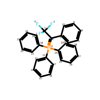 FC(F)(F)C(c1ccccc1)=P(c1ccccc1)(c1ccccc1)c1ccccc1